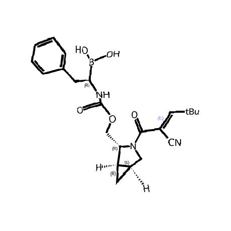 CC(C)(C)/C=C(\C#N)C(=O)N1C[C@H]2C[C@H]2[C@@H]1COC(=O)N[C@@H](Cc1ccccc1)B(O)O